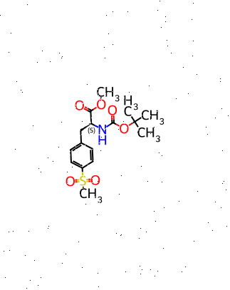 COC(=O)[C@H](Cc1ccc(S(C)(=O)=O)cc1)NC(=O)OC(C)(C)C